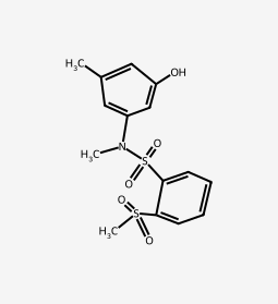 Cc1cc(O)cc(N(C)S(=O)(=O)c2ccccc2S(C)(=O)=O)c1